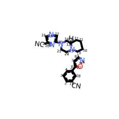 N#Cc1cccc(-c2cc([C@H]3CCC[C@H]4CN(c5cncc(C#N)n5)CCN43)no2)c1